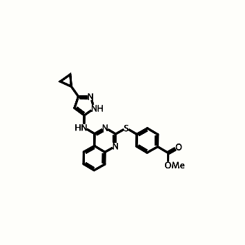 COC(=O)c1ccc(Sc2nc(Nc3cc(C4CC4)n[nH]3)c3ccccc3n2)cc1